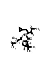 CC(C)(C)[C@H](NC(=O)C(F)(F)F)C(=O)N1C[C@H]2[C@@H]([C@H]1C(=O)NC(CC1CC1)C(=O)C(N)=O)C2(C)C